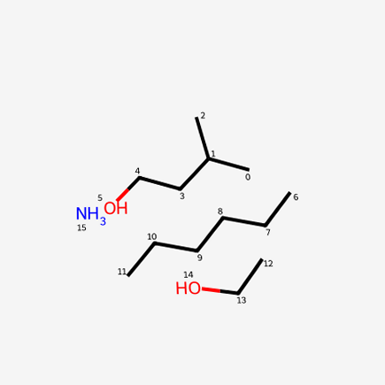 CC(C)CCO.CCCCCC.CCO.N